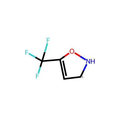 FC(F)(F)C1=C[C]NO1